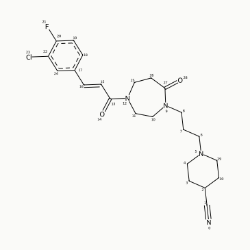 N#CC1CCN(CCCN2CCN(C(=O)C=Cc3ccc(F)c(Cl)c3)CCC2=O)CC1